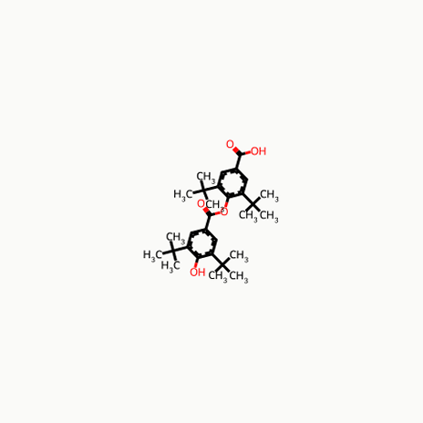 CC(C)(C)c1cc(C(=O)Oc2c(C(C)(C)C)cc(C(=O)O)cc2C(C)(C)C)cc(C(C)(C)C)c1O